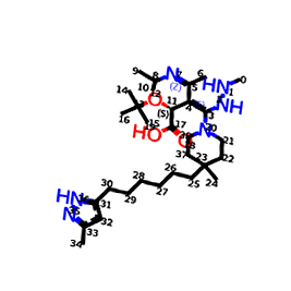 CNN/C(=C(\C(C)=N/C(C)C)[C@H](OC(C)(C)C)C(=O)O)N1CCC(C)(CCCCCCc2cc(C)n[nH]2)CC1